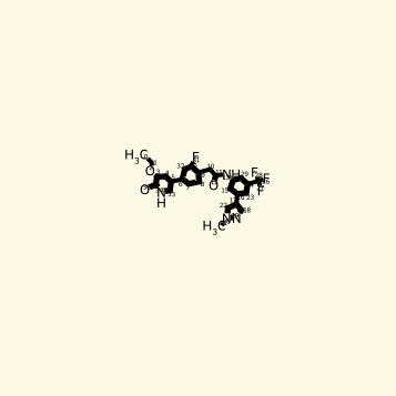 CCOc1cc(-c2ccc(CC(=O)Nc3cc(-c4cnn(C)c4)cc(C(F)(F)F)c3)c(F)c2)c[nH]c1=O